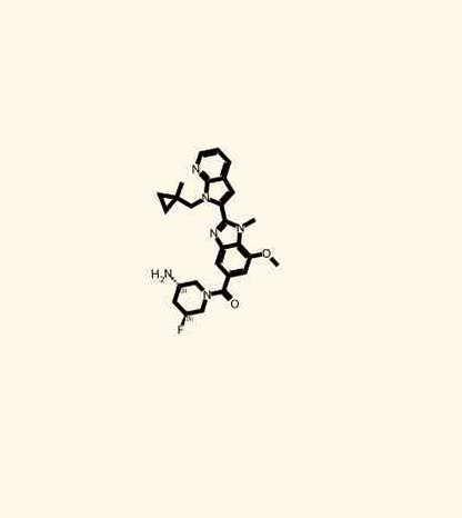 COc1cc(C(=O)N2C[C@@H](N)C[C@H](F)C2)cc2nc(-c3cc4cccnc4n3CC3(C)CC3)n(C)c12